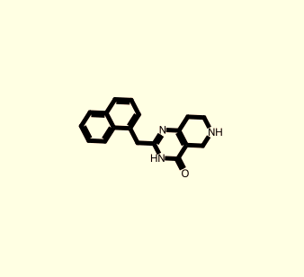 O=c1[nH]c(Cc2cccc3ccccc23)nc2c1CNCC2